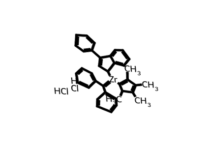 CC1=C(C)C(C)[C]([Zr](=[C](c2ccccc2)c2ccccc2)[CH]2C=C(c3ccccc3)c3ccccc32)=C1C.Cl.Cl